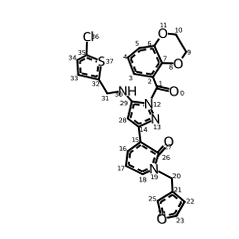 O=C(c1cccc2c1OCCO2)n1nc(-c2cccn(Cc3ccoc3)c2=O)cc1NCc1ccc(Cl)s1